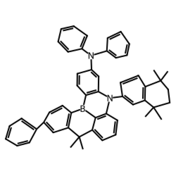 CC1(C)CCC(C)(C)c2cc(N3c4cc(N(c5ccccc5)c5ccccc5)ccc4B4c5ccc(-c6ccccc6)cc5C(C)(C)c5cccc3c54)ccc21